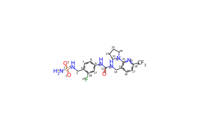 NS(=O)(=O)NCc1ccc(NC(=O)NCc2ccc(C(F)(F)F)nc2N2CCCC2)cc1F